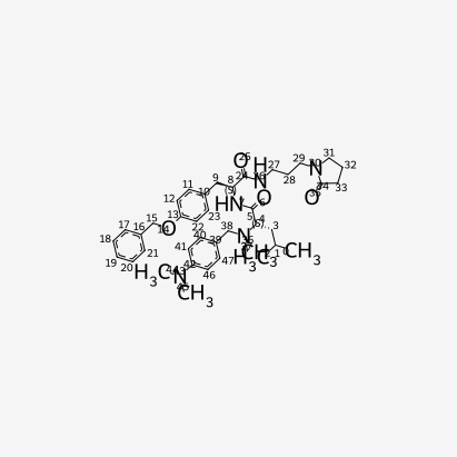 CC(C)C[C@@H](C(=O)N[C@@H](Cc1ccc(OCc2ccccc2)cc1)C(=O)NCCCN1CCCC1=O)N(C)Cc1ccc(N(C)C)cc1